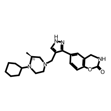 C[C@H]1CN(Cc2c[nH]nc2-c2ccc3c(c2)CNC(=O)O3)CCN1C1CCCCC1